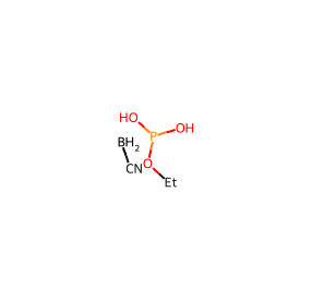 BC#N.CCOP(O)O